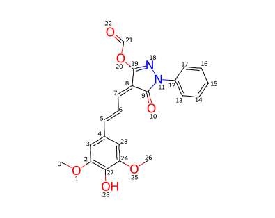 COc1cc(/C=C/C=C2\C(=O)N(c3ccccc3)N=C2OC=O)cc(OC)c1O